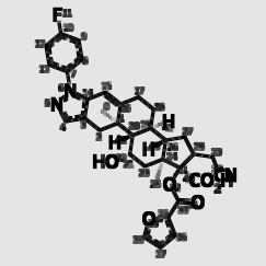 C[C@]12Cc3cnn(-c4ccc(F)cc4)c3C=C1CC[C@@H]1[C@@H]2[C@@H](O)C[C@@]2(C)[C@H]1CC(CC#N)[C@]2(OC(=O)c1ccco1)C(=O)O